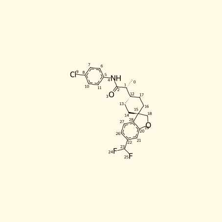 C[C@@H](C(=O)Nc1ccc(Cl)cc1)[C@H]1CC[C@@]2(CC1)COc1cc(C(F)F)ccc12